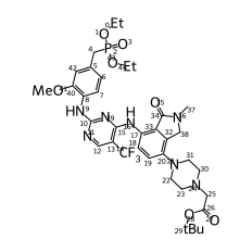 CCOP(=O)(Cc1ccc(Nc2ncc(C(F)(F)F)c(Nc3ccc(N4CCN(CC(=O)OC(C)(C)C)CC4)c4c3C(=O)N(C)C4)n2)c(OC)c1)OCC